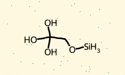 OC(O)(O)CO[SiH3]